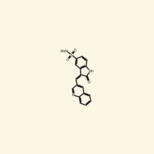 CNS(=O)(=O)c1ccc2c(c1)C(=Cc1cnc3ccccc3c1)C(=O)N2